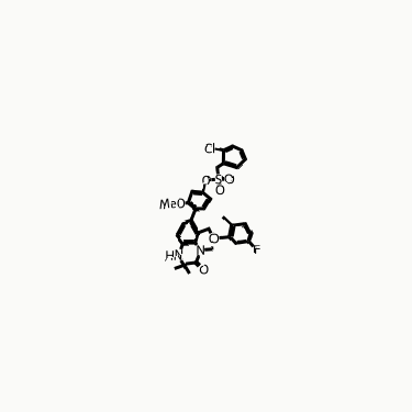 COc1cc(OS(=O)(=O)Cc2ccccc2Cl)ccc1-c1ccc2c(c1COc1cc(F)ccc1C)N(C)C(=O)C(C)(C)N2